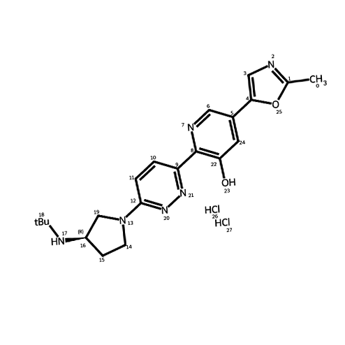 Cc1ncc(-c2cnc(-c3ccc(N4CC[C@@H](NC(C)(C)C)C4)nn3)c(O)c2)o1.Cl.Cl